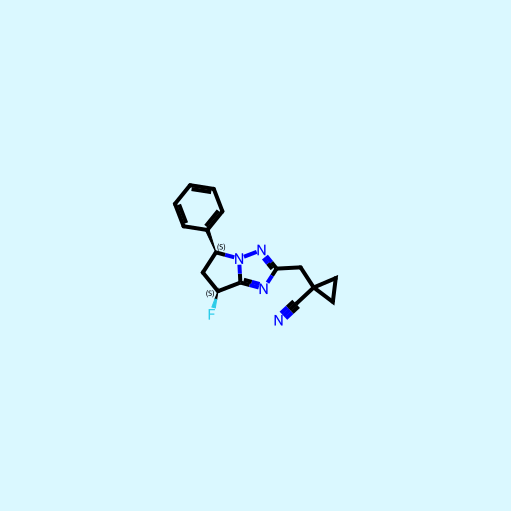 N#CC1(Cc2nc3n(n2)[C@H](c2ccccc2)C[C@@H]3F)CC1